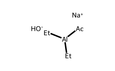 C[CH2][Al]([CH2]C)[C](C)=O.[Na+].[OH-]